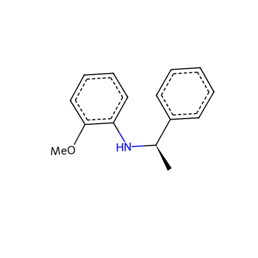 COc1ccccc1N[C@H](C)c1ccccc1